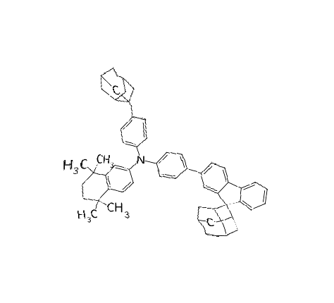 CC1(C)CCC(C)(C)c2cc(N(c3ccc(-c4ccc5c(c4)C4(c6ccccc6-5)C5CC6CC7CC4C75C6)cc3)c3ccc(C45CC6CC(CC4C6)C5)cc3)ccc21